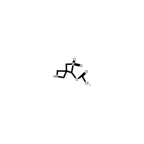 O=C(OC1C2(CNC2)CS1(=O)=O)C(F)(F)F